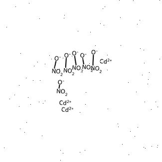 O=[N+]([O-])[O-].O=[N+]([O-])[O-].O=[N+]([O-])[O-].O=[N+]([O-])[O-].O=[N+]([O-])[O-].O=[N+]([O-])[O-].[Cd+2].[Cd+2].[Cd+2]